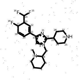 CN1CCCCC1Cn1cc(C2=CC(C(F)F)C(F)C=C2)nc1C1CCNCC1